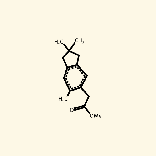 COC(=O)Cc1cc2c(cc1C)CC(C)(C)C2